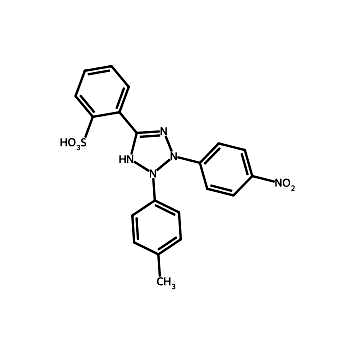 Cc1ccc(N2NC(c3ccccc3S(=O)(=O)O)=NN2c2ccc([N+](=O)[O-])cc2)cc1